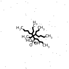 CCCCC(CCC)C(CC)(C(CCC)CCCC)C(CCCC)P(=O)(O)O